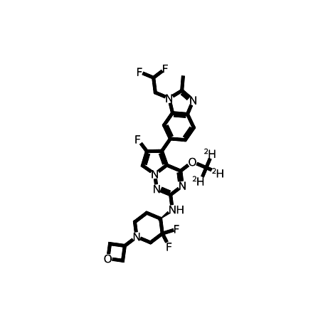 [2H]C([2H])([2H])Oc1nc(N[C@@H]2CCN(C3COC3)CC2(F)F)nn2cc(F)c(-c3ccc4nc(C)n(CC(F)F)c4c3)c12